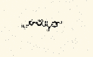 Cc1ccc(C(=O)NCc2cc(-c3cc(C)cs3)no2)cc1